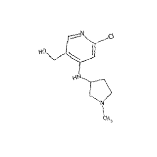 CN1CCC(Nc2cc(Cl)ncc2CO)C1